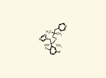 C[C@@H](SSC(C)(C)Cc1ccncc1)[C@](O)(Cn1cncn1)c1cc(F)ccc1F